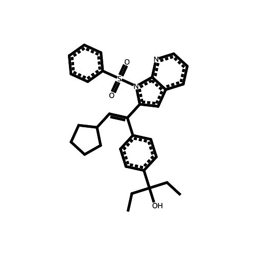 CCC(O)(CC)c1ccc(C(=CC2CCCC2)c2cc3cccnc3n2S(=O)(=O)c2ccccc2)cc1